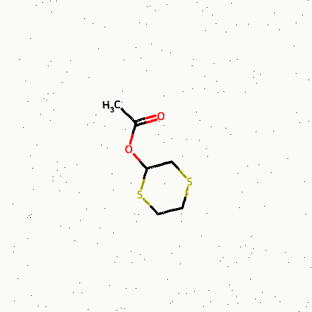 CC(=O)OC1CSCCS1